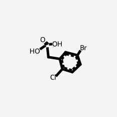 O=P(O)(O)Cc1cc(Br)ccc1Cl